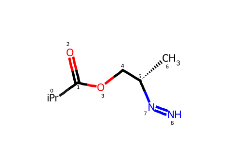 CC(C)C(=O)OC[C@H](C)N=N